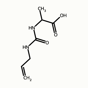 C=CCNC(=O)NC(C)C(=O)O